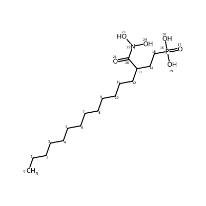 CCCCCCCCCCCCCC(CCP(=O)(O)O)C(=O)N(O)O